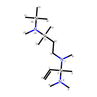 C=C[Si](C)(N(C)C)N(C)CC[Si](C)(C)N(C)[Si](C)(C)C